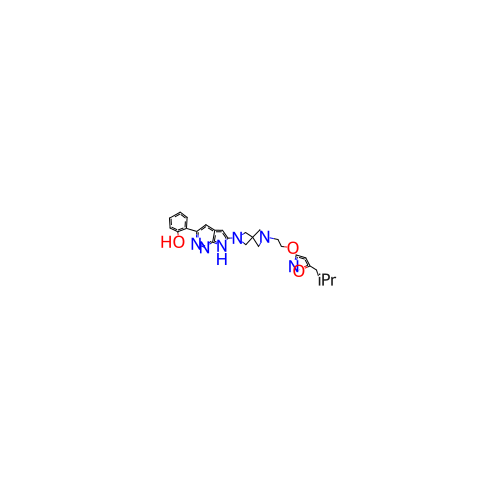 CC(C)Cc1cc(OCCN2CC3(C2)CN(c2cc4cc(-c5ccccc5O)nnc4[nH]2)C3)no1